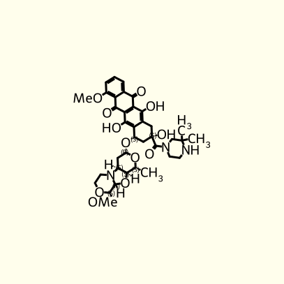 COc1cccc2c1C(=O)c1c(O)c3c(c(O)c1C2=O)C[C@@](O)(C(=O)N1CCNC(C)(C)C1)C[C@@H]3O[C@H]1C[C@H]2[C@H](O[C@@H]3[C@@H](OC)OCCN32)[C@H](C)O1